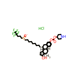 C[C@]12CC[C@@H]3c4ccc(OC(=O)OC5CCNCC5)cc4C[C@@H](CCCCCCCCC[S+]([O-])CCCC(F)(F)C(F)(F)F)[C@H]3[C@@H]1CC[C@@H]2O.Cl